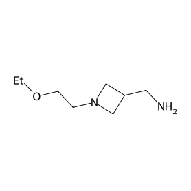 CCOCCN1CC(CN)C1